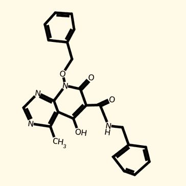 Cc1ncnc2c1c(O)c(C(=O)NCc1ccccc1)c(=O)n2OCc1ccccc1